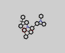 CC1(c2ccccc2)c2ccccc2-c2c(N(c3cccc(-c4ccc5c(c4)c4ccccc4n5-c4ccccc4)c3)c3ccccc3-c3ccccc3-c3ccccc3-c3ccccc3)cccc21